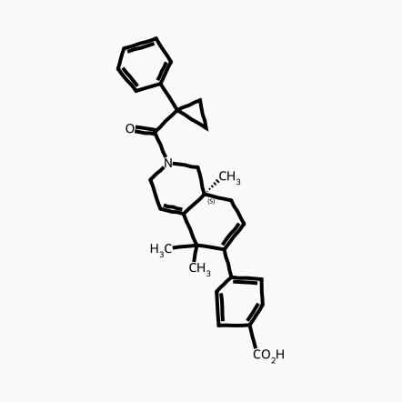 CC1(C)C(c2ccc(C(=O)O)cc2)=CC[C@]2(C)CN(C(=O)C3(c4ccccc4)CC3)CC=C12